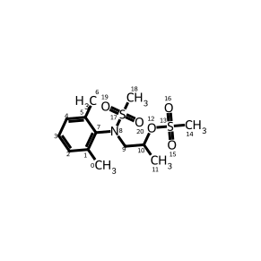 Cc1cccc(C)c1N(CC(C)OS(C)(=O)=O)S(C)(=O)=O